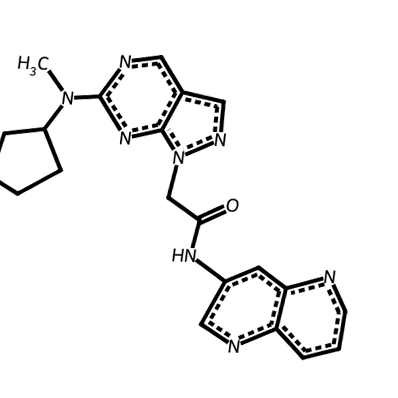 CN(c1ncc2cnn(CC(=O)Nc3cnc4cccnc4c3)c2n1)C1CCCC1